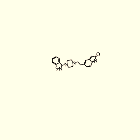 O=C1C=c2cc(CCN3CCN(c4nsc5ccccc45)CC3)ccc2=N1